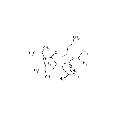 CCCCCC(CC(C)(C)C)(C(=O)OC(C)C)C(CC(C)(C)C)C(=O)OC(C)C